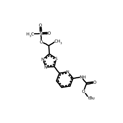 CC(OS(C)(=O)=O)c1nnc(-c2cccc(NC(=O)OC(C)(C)C)n2)s1